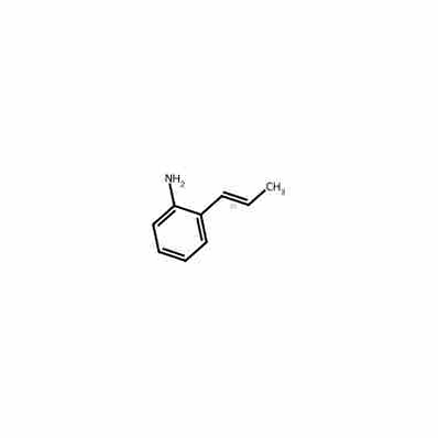 C/C=C/c1ccccc1N